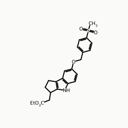 CCOC(=O)CC1CCc2c1[nH]c1ccc(OCc3ccc(S(C)(=O)=O)cc3)cc21